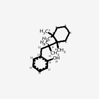 CC1(C)CCCCC1(C)C(C)(C)Cc1ccccc1O